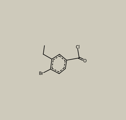 CCc1cc(C(=O)Cl)ccc1Br